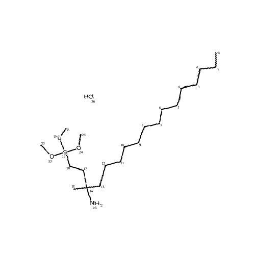 CCCCCCCCCCCCCCC(C)(N)CC[Si](OC)(OC)OC.Cl